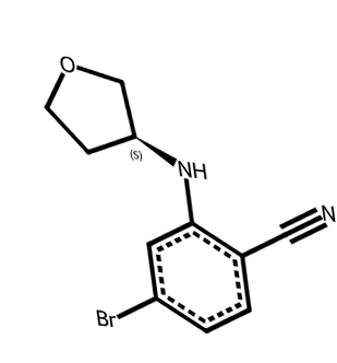 N#Cc1ccc(Br)cc1N[C@H]1CCOC1